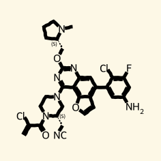 C=C(Cl)C(=O)N1CCN(c2nc(OC[C@@H]3CCCN3C)nc3cc(-c4cc(N)cc(F)c4Cl)c4ccoc4c23)C[C@@H]1CC#N